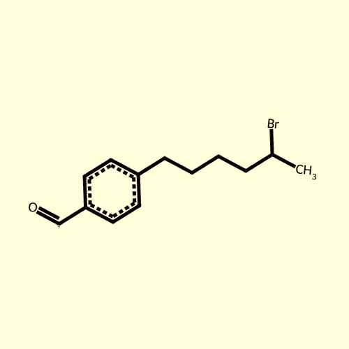 CC(Br)CCCCc1ccc([C]=O)cc1